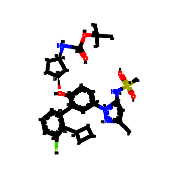 Cc1cc(NS(C)(=O)=O)n(-c2ccc(O[C@@H]3CC[C@@H](NC(=O)OC(C)(C)C)C3)c(-c3cccc(F)c3C3CCC3)c2)n1